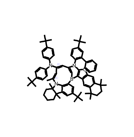 C/C1=C\C(N(c2ccc(C(C)(C)C)cc2)c2ccc(C(C)(C)C)cc2)=C/C2=CB(c3cc(C(C)(C)C)cc4c3N1C1(C)CCCCC41C)c1c(oc3cc4c(cc13)C(C)(C)CCC4(C)C)N2c1ccc(C(C)(C)C)cc1-c1ccccc1